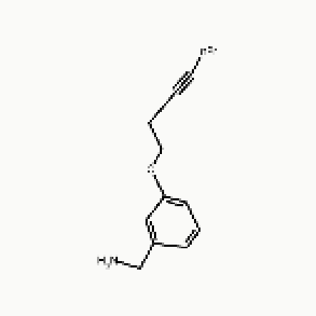 CCCC#CCCOc1cccc(CN)c1